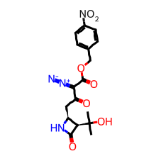 CC(C)(O)[C@H]1C(=O)N[C@H]1CC(=O)C(=[N+]=[N-])C(=O)OCc1ccc([N+](=O)[O-])cc1